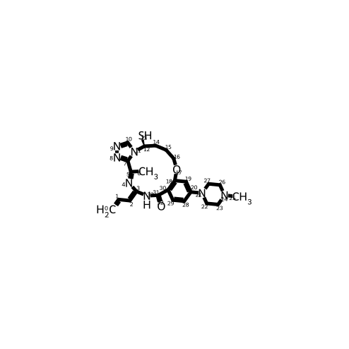 C=C/C=C1\N=C(/C)c2nncn2[C@@H](S)CCCOc2cc(N3CCN(C)CC3)ccc2C(=O)N1